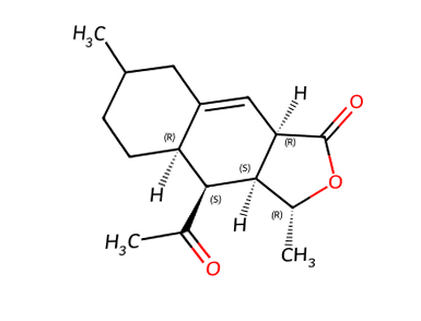 CC(=O)[C@@H]1[C@@H]2[C@@H](C)OC(=O)[C@@H]2C=C2CC(C)CC[C@@H]21